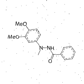 COc1ccc(N(C)NC(=O)c2ccccc2)cc1OC